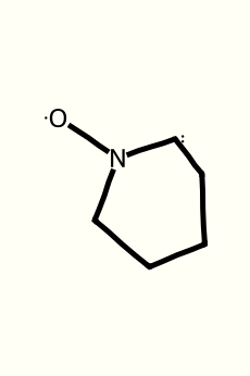 [O]N1[C]CCCC1